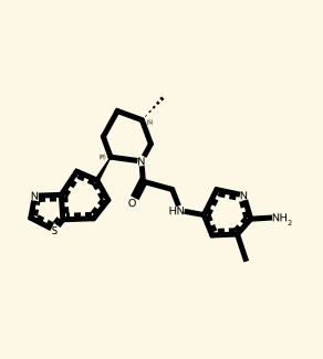 Cc1cc(NCC(=O)N2C[C@@H](C)CC[C@@H]2c2ccc3scnc3c2)cnc1N